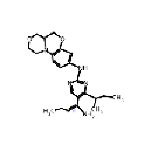 CC/C=C(/N)c1cnc(Nc2ccc3c(c2)OCC2COCCN32)nc1C(C)CC